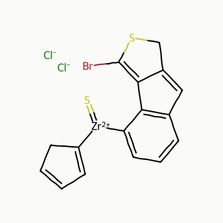 [Cl-].[Cl-].[S]=[Zr+2]([C]1=CC=CC1)[c]1cccc2c1C1=C(Br)SCC1=C2